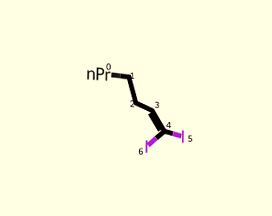 CCCCCC=C(I)I